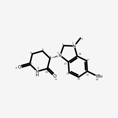 CN1CN([C@H]2CCC(=O)NC2=O)c2ccc(C(C)(C)C)cc21